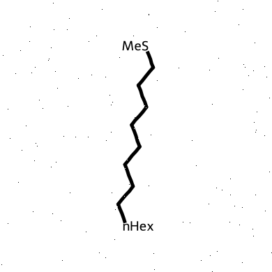 CCCCCCCCCCCCCCSC